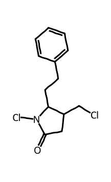 O=C1CC(CCl)C(CCc2ccccc2)N1Cl